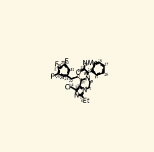 CCc1nc(Cl)c2n1CCN([C@@H](C(=O)NC)c1ccccc1)[C@H]2CCc1cc(F)c(F)c(F)c1